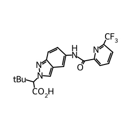 CC(C)(C)C(C(=O)O)n1cc2cc(NC(=O)c3cccc(C(F)(F)F)n3)ccc2n1